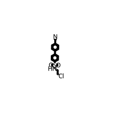 N#Cc1ccc(-c2ccc(S(=O)(=O)NCCCl)cc2)cc1